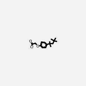 CC(C)(C)CC(C)(C)c1ccc(OCC(=O)Cl)cc1